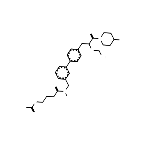 CCOC(Cc1ccc(-c2cccc(CN(C)C(=O)CCCNC(C)=O)c2)cc1)C(=O)N1CCC(C)CC1